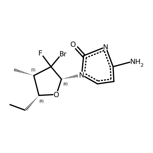 CC[C@H]1O[C@@H](n2ccc(N)nc2=O)C(F)(Br)[C@H]1C